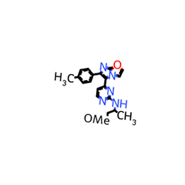 COCC(C)Nc1nccc(-c2c(-c3ccc(C)cc3)nc3occn23)n1